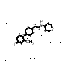 Cc1cc(F)ccc1C1CCC(CCNC2CCOCC2)CC1